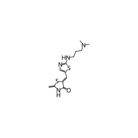 C=c1[nH]c(=O)/c(=C/c2cnc(NCCCN(C)C)s2)s1